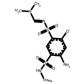 CCCCCCNS(=O)(=O)c1cc(S(=O)(=O)/N=C/N(C)C)c(Cl)cc1N